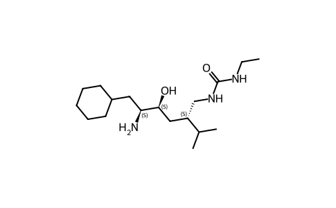 CCNC(=O)NC[C@@H](C[C@H](O)[C@@H](N)CC1CCCCC1)C(C)C